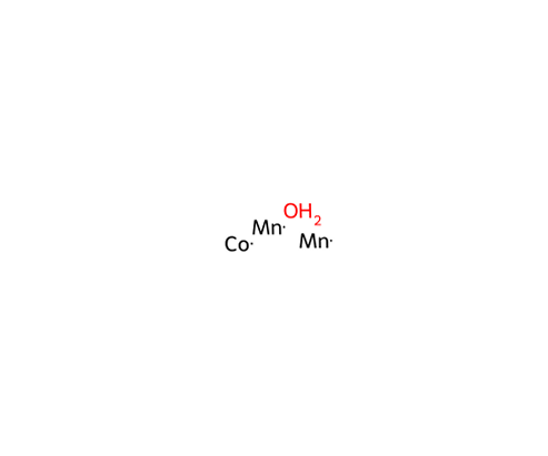 O.[Co].[Mn].[Mn]